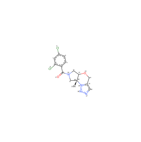 O=C(c1ccc(Cl)cc1Cl)N1CC2OCc3cnnn3[C@@H]2C1